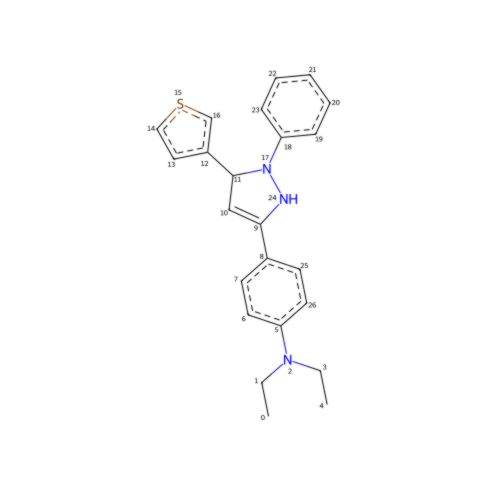 CCN(CC)c1ccc(C2=CC(c3ccsc3)N(c3ccccc3)N2)cc1